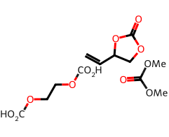 C=CC1COC(=O)O1.COC(=O)OC.O=C(O)OCCOC(=O)O